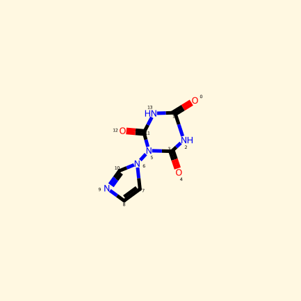 O=c1[nH]c(=O)n(-n2ccnc2)c(=O)[nH]1